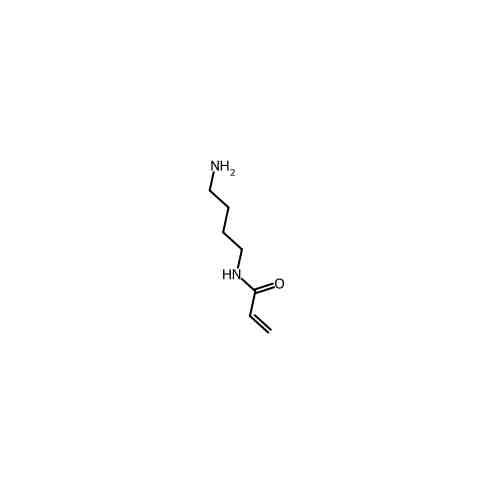 C=CC(=O)NCCCCN